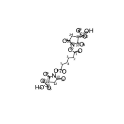 O=C(CCCCC(=O)ON1C(=O)CC(S(=O)(=O)O)C1=O)ON1C(=O)CC(S(=O)(=O)O)C1=O